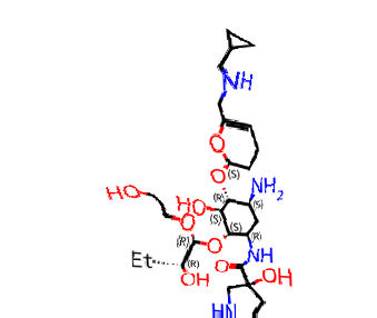 CC[C@@H](O)[C@H](OCCO)O[C@@H]1[C@@H](O)[C@H](O[C@@H]2CCC=C(CNCC3CC3)O2)[C@@H](N)C[C@H]1NC(=O)C1(O)CCNC1